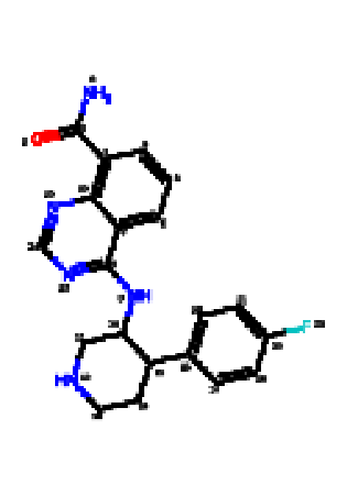 NC(=O)c1cccc2c(NC3CNCCC3c3ccc(F)cc3)ncnc12